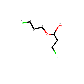 OC(CCCl)OCCCCl